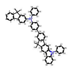 CC1(C)c2ccccc2-c2ccc(N(c3ccccc3)c3ccc(-c4ccc5c(c4)C(C)(C)c4cc6c7ccccc7n(-c7ccccc7)c6cc4-5)cc3)cc21